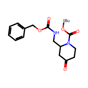 CC(C)(C)OC(=O)N1CCC(=O)CC1CNC(=O)OCc1ccccc1